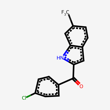 O=C(c1ccc(Cl)cc1)c1cc2ccc(C(F)(F)F)cc2[nH]1